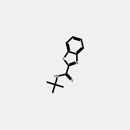 CC(C)(C)NC(=S)c1nc2ccccc2s1